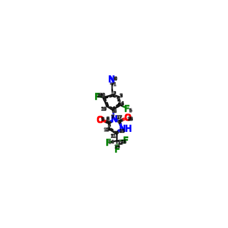 N#Cc1cc(F)c(-n2c(=O)cc(C(F)(F)F)[nH]c2=O)cc1F